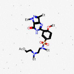 CCOc1ccc(S(=O)(=O)N(CC)CCN(CC)CCOC(C)=O)cc1-c1nc2c(CC)nn(CC)c2c(=O)[nH]1